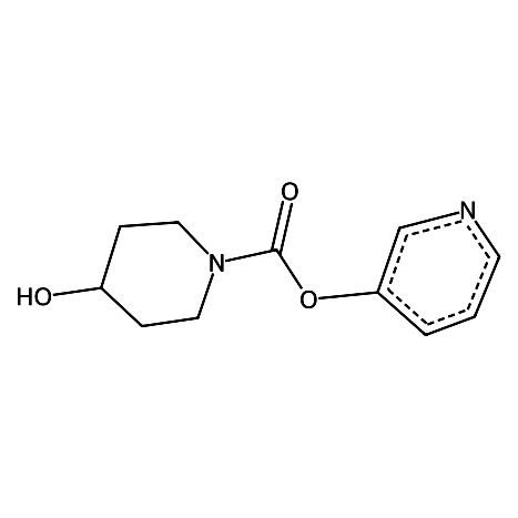 O=C(Oc1cccnc1)N1CCC(O)CC1